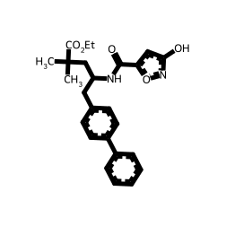 CCOC(=O)C(C)(C)CC(Cc1ccc(-c2ccccc2)cc1)NC(=O)c1cc(O)no1